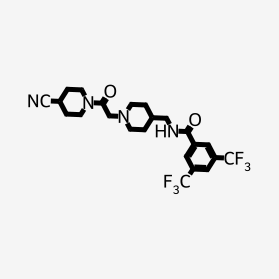 N#CC1CCN(C(=O)CN2CCC(CNC(=O)c3cc(C(F)(F)F)cc(C(F)(F)F)c3)CC2)CC1